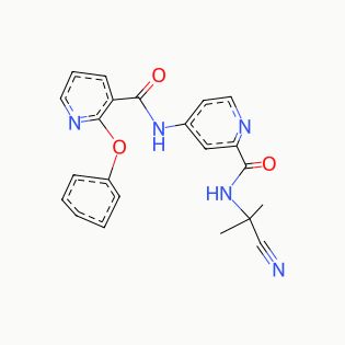 CC(C)(C#N)NC(=O)c1cc(NC(=O)c2cccnc2Oc2ccccc2)ccn1